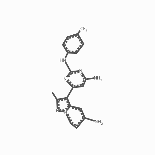 Cc1nn2ccc(N)cc2c1-c1cc(N)nc(Nc2ccc(C(F)(F)F)cc2)n1